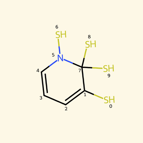 SC1=CC=CN(S)C1(S)S